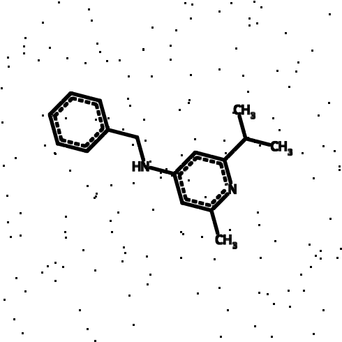 Cc1cc(NCc2ccccc2)cc(C(C)C)n1